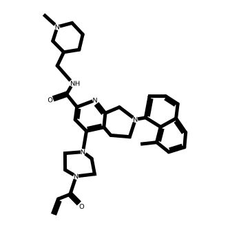 C=CC(=O)N1CCN(c2cc(C(=O)NCC3CCCN(C)C3)nc3c2CCN(c2cccc4cccc(C)c24)C3)CC1